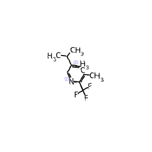 CC=C(/N=C\C(=C/C)C(C)C)C(F)(F)F